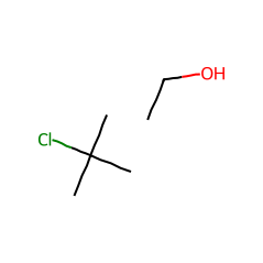 CC(C)(C)Cl.CCO